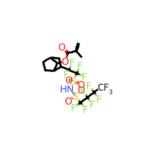 C=C(C)C(=O)OC1C2CCC1C(C(F)(F)C(F)(F)S(=O)(=O)NS(=O)(=O)C(F)(F)C(F)(F)C(F)(F)C(F)(F)F)C2